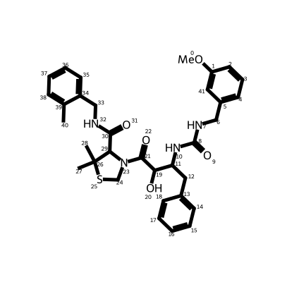 COc1cccc(CNC(=O)NC(Cc2ccccc2)C(O)C(=O)N2CSC(C)(C)C2C(=O)NCc2ccccc2C)c1